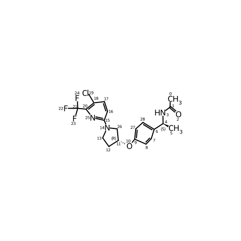 CC(=O)N[C@@H](C)c1ccc(O[C@@H]2CCN(c3ccc(Cl)c(C(F)(F)F)n3)C2)cc1